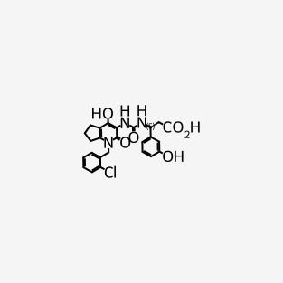 O=C(O)C[C@H](NC(=O)Nc1c(O)c2c(n(Cc3ccccc3Cl)c1=O)CCC2)c1cccc(O)c1